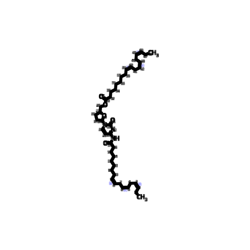 CC/C=C\C/C=C\C/C=C\CCCCCCCC(=O)Nc1ccn(C2CCC(COC(=O)CCCCCCC/C=C\C/C=C\C/C=C\CC)O2)c(=O)n1